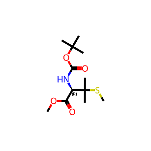 COC(=O)[C@@H](NC(=O)OC(C)(C)C)C(C)(C)SC